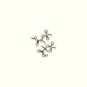 CC(C)(OS(C)(=O)=O)C(=O)O.COC(=O)[C@H](C)OS(C)(=O)=O